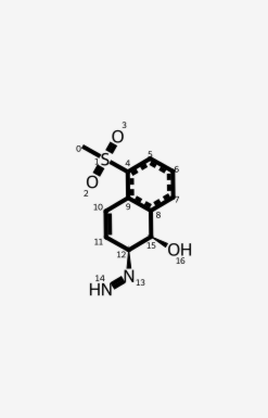 CS(=O)(=O)c1cccc2c1C=C[C@H](N=N)[C@@H]2O